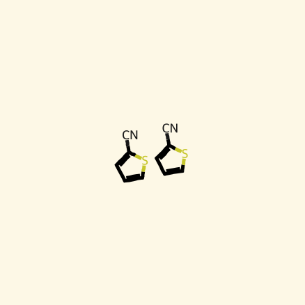 N#Cc1cccs1.N#Cc1cccs1